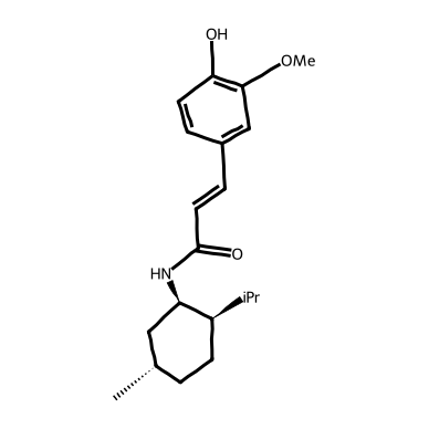 COc1cc(/C=C/C(=O)N[C@@H]2C[C@@H](C)CC[C@@H]2C(C)C)ccc1O